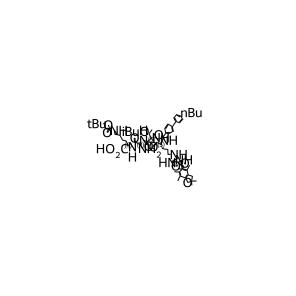 CCCCc1ccc(-c2ccc(C(=O)N[C@@H](CCCNC(=N)NS(=O)(=O)c3c(C)c(C)c4c(c3C)CC(C)(C)O4)C(=O)N[C@H](C(=O)N[C@@H](N)C(=O)N[C@@H](CCCCNC(=O)OC(C)(C)C)C(=O)O)C(C)OCC(C)C)cc2)cc1